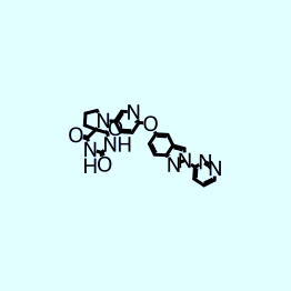 O=C1NC(=O)C2(CCCN2c2ccc(Oc3ccc4nn(-c5cccnn5)cc4c3)nc2)C(=O)N1